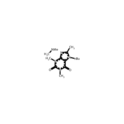 CCCCn1c(C)nc2c1c(=O)n(C)c(=O)n2C.CNC